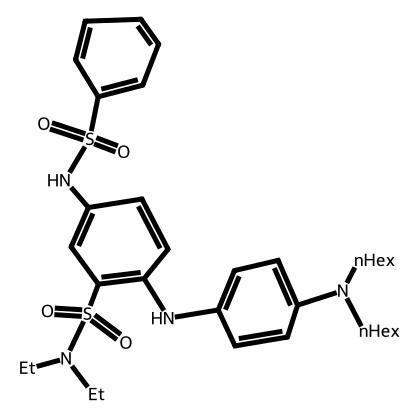 CCCCCCN(CCCCCC)c1ccc(Nc2ccc(NS(=O)(=O)c3ccccc3)cc2S(=O)(=O)N(CC)CC)cc1